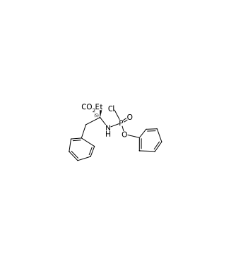 CCOC(=O)[C@H](Cc1ccccc1)NP(=O)(Cl)Oc1ccccc1